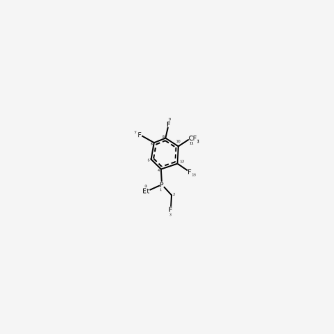 CCP(CF)c1cc(F)c(F)c(C(F)(F)F)c1F